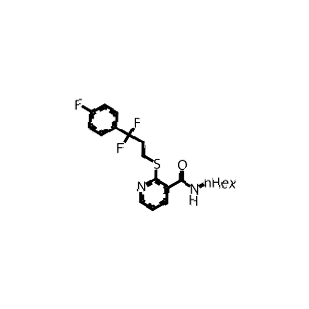 CCCCCCNC(=O)c1cccnc1SCCC(F)(F)c1ccc(F)cc1